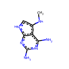 CNc1c[nH]c2nc(N)nc(N)c12